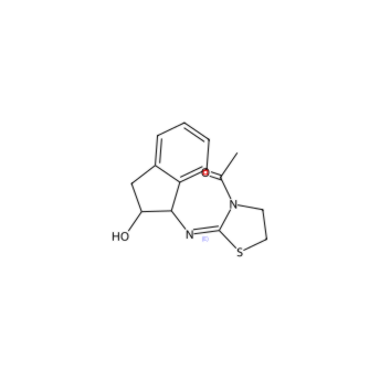 CC(=O)N1CCS/C1=N/C1c2ccccc2CC1O